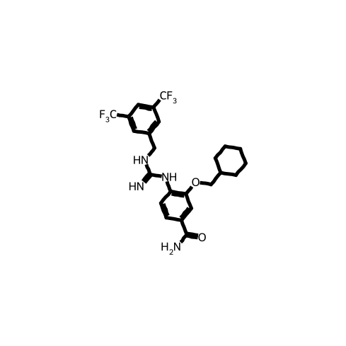 N=C(NCc1cc(C(F)(F)F)cc(C(F)(F)F)c1)Nc1ccc(C(N)=O)cc1OCC1CCCCC1